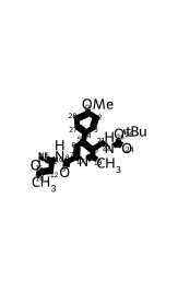 COc1ccc(-c2cc(C(=O)Nc3cc(C)on3)nc(C)c2CNC(=O)OC(C)(C)C)cc1